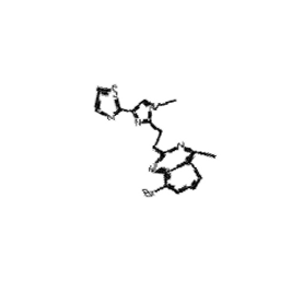 Cc1nc(CCc2nc(-c3nccs3)cn2C)nc2c(Br)cccc12